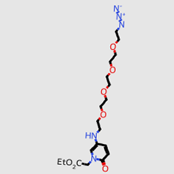 CCOC(=O)Cn1cc(NCCOCCOCCOCCOCCN=[N+]=[N-])ccc1=O